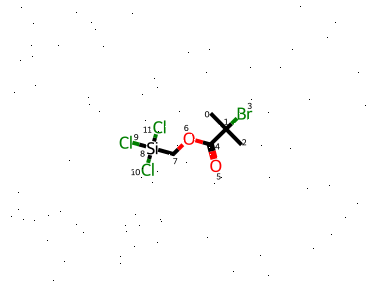 CC(C)(Br)C(=O)OC[Si](Cl)(Cl)Cl